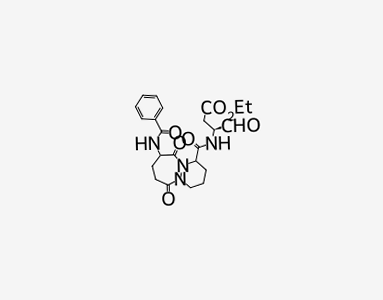 CCOC(=O)C[C@@H](C=O)NC(=O)C1CCCN2C(=O)CCC(NC(=O)c3ccccc3)C(=O)N12